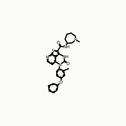 Cc1cc(Oc2ccccc2)ccc1N1C(=O)Nc2c(C(=O)NC3CCCCN(C)C3)sc3nccc1c23